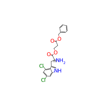 N[C@@H](Cc1c[nH]c2cc(Cl)cc(Cl)c12)C(=O)OCCC(=O)OCc1ccccc1